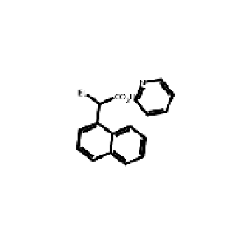 CCC(C(=O)O)c1cccc2ccccc12.c1ccncc1